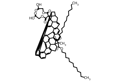 CCCCCCCCCCCCOC(=O)C(C)(C(=O)OCCCCCCCCCCCC)C12CCc3cc4cc5c6c7c8c9c%10c%11c%12c(cc%13ccc1c1c%14c%15c%16c(c3C%152)c4c6c8c%16c%10c%14c%12c%131)C=C1CC2CC7(C=C5)C23C(C(=O)OCC(=O)O)(C(=O)OCC(=O)O)C93C1%11